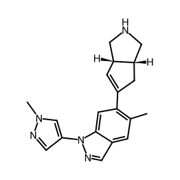 Cc1cc2cnn(-c3cnn(C)c3)c2cc1C1=C[C@@H]2CNC[C@@H]2C1